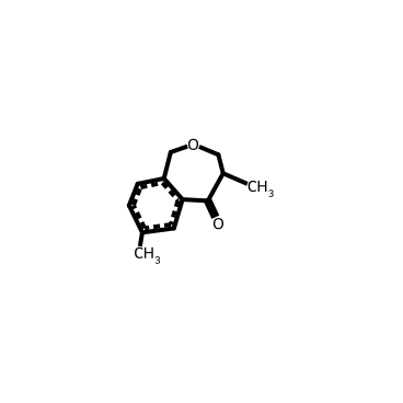 Cc1ccc2c(c1)C(=O)C(C)COC2